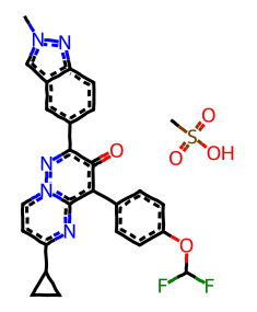 CS(=O)(=O)O.Cn1cc2cc(-c3nn4ccc(C5CC5)nc4c(-c4ccc(OC(F)F)cc4)c3=O)ccc2n1